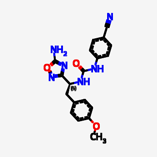 COc1ccc(C[C@H](NC(=O)Nc2ccc(C#N)cc2)c2noc(N)n2)cc1